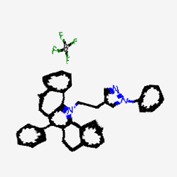 F[B-](F)(F)F.c1ccc(-c2c3c([n+](CCc4cnn(-c5ccccc5)c4)c4c2CCc2ccccc2-4)-c2ccccc2CC3)cc1